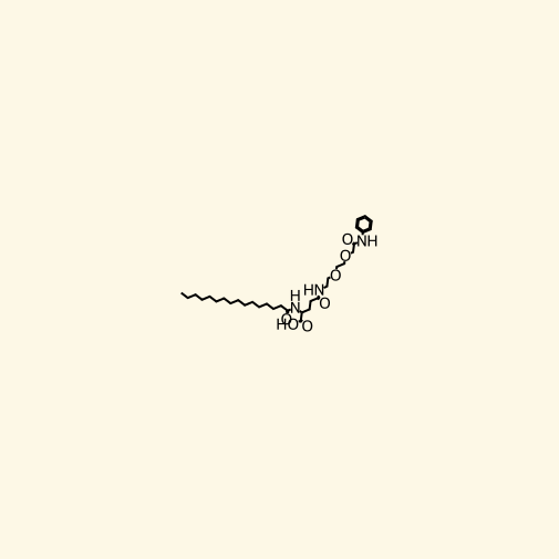 CCCCCCCCCCCCCCCC(=O)NC(CCC(=O)NCCOCCOCC(=O)Nc1ccccc1)C(=O)O